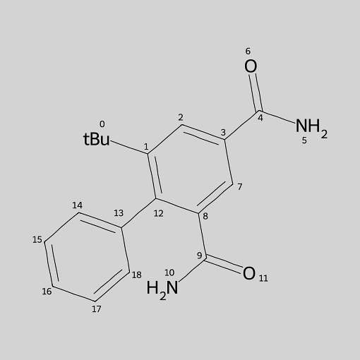 CC(C)(C)c1cc(C(N)=O)cc(C(N)=O)c1-c1ccccc1